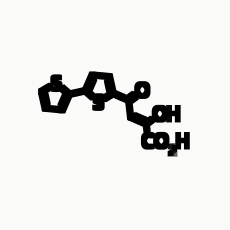 O=C(O)/C(O)=C/C(=O)c1ccc(-c2cccs2)s1